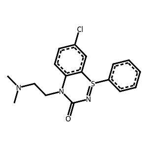 CN(C)CCN1C(=O)N=S(c2ccccc2)c2cc(Cl)ccc21